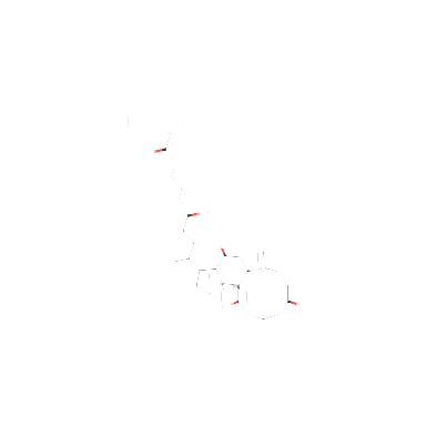 CC(CCC(=O)OCCOC(=O)CS(=O)(=O)O)C1CC[C@H]2[C@@H]3C(=O)CCCC(=O)CC[C@H](C)[C@H]3CC(=O)[C@]12C